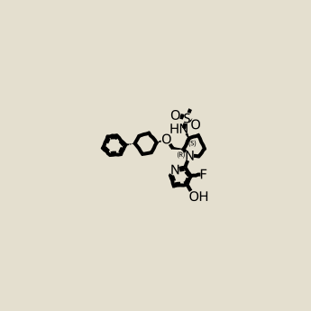 CS(=O)(=O)N[C@H]1CCCN(c2nccc(O)c2F)[C@H]1CO[C@H]1CC[C@@H](c2ccccc2)CC1